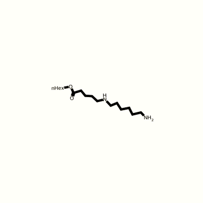 CCCCCCOC(=O)CCCCNCCCCCCN